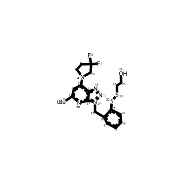 CC(C)(C)c1cc(N2CCC(F)(F)C2)c2nnn(Cc3ccccc3SSCCO)c2n1